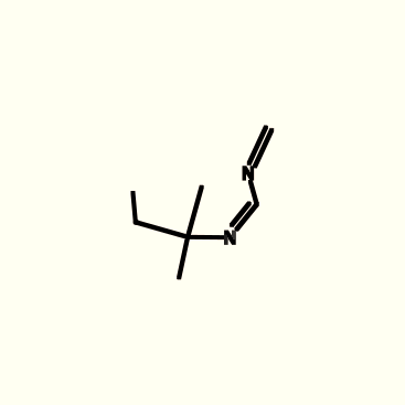 C=N/C=N\C(C)(C)CC